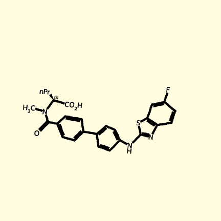 CCC[C@@H](C(=O)O)N(C)C(=O)c1ccc(-c2ccc(Nc3nc4ccc(F)cc4s3)cc2)cc1